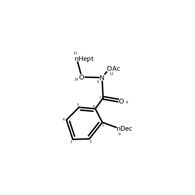 CCCCCCCCCCc1ccccc1C(=O)N(OCCCCCCC)OC(C)=O